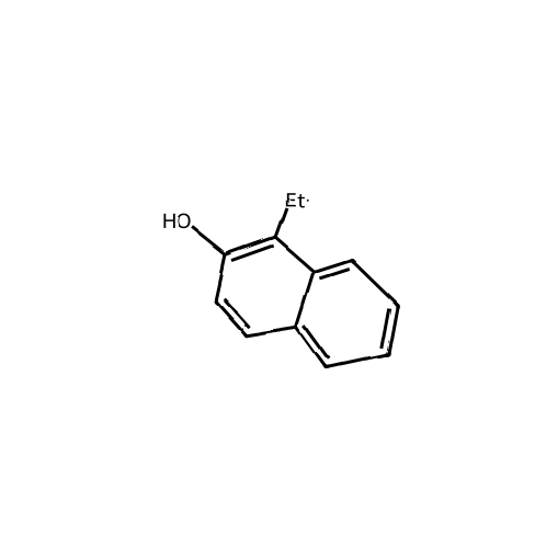 C[CH]c1c(O)ccc2ccccc12